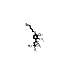 Cc1c(C(=O)CC(C)(C)C)ccc(OCCCCBr)c1O